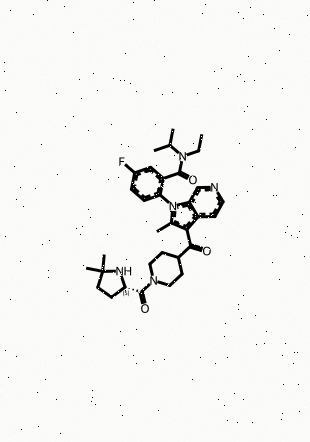 CCN(C(=O)c1cc(F)ccc1-n1c(C)c(C(=O)C2CCN(C(=O)[C@@H]3CCC(C)(C)N3)CC2)c2ccncc21)C(C)C